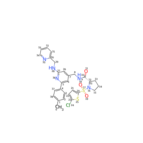 Cc1ccc(-c2cc(CNC(=O)[C@@H]3CCCN3S(=O)(=O)c3ccc(Cl)s3)cc(NCc3ccccn3)n2)cc1